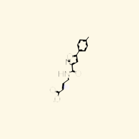 COC(=O)/C=C/CNC(=O)c1cc(-c2ccc(C)cc2)on1